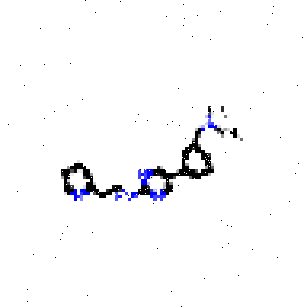 CN(C)Cc1cccc(-c2cnc(NCCc3ccccn3)nc2)c1